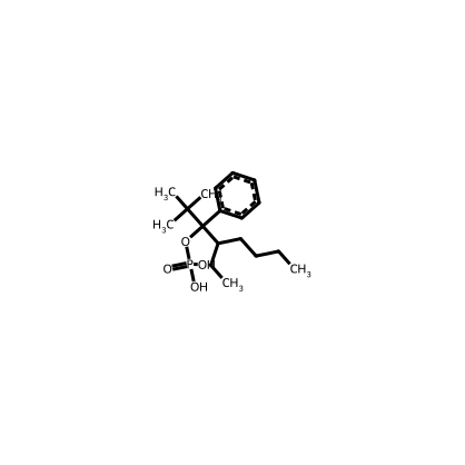 CCCCC(CC)C(OP(=O)(O)O)(c1ccccc1)C(C)(C)C